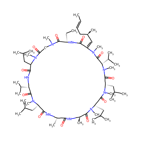 C/C=C/C[C@@H](C)/C=C1\C(=O)N[C@@H](CC)C(=O)N(C)CC(=O)N(C)C(CC(C)C)C(=O)N[C@@H](C(C)C)C(=O)N(C)[C@@H](CC(C)C)C(=O)N[C@@H](C)C(=O)N[C@H](C)C(=O)N(C)[C@@H](CC(C)C)C(=O)N(C)[C@@H](CC(C)C)C(=O)N(C)[C@@H](C(C)C)C(=O)N1C